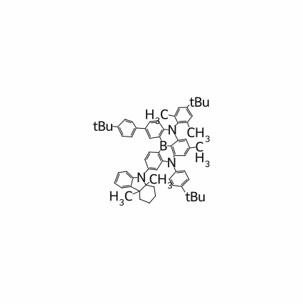 Cc1cc2c3c(c1)N(c1c(C)cc(C(C)(C)C)cc1C)c1ccc(-c4ccc(C(C)(C)C)cc4)cc1B3c1ccc(N3c4ccccc4C4(C)CCCCC34C)cc1N2c1ccc(C(C)(C)C)cc1